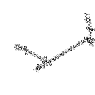 CC(C)Cc1ccc(CCCC(=O)NCCCCC(NC(=O)CCOCCOCCOCCOCCOCCOCCOCCOCCNC(=O)C(CCCCNC(=O)OC(C)(C)C)NC(=O)CCOCCOCCOCCNC(=O)OCc2ccccc2)C(=O)OC(C)(C)C)cc1